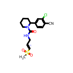 CS(=O)(=O)/C=C/CNC(=O)N1CCCCC1c1ccc(C#N)c(Cl)c1